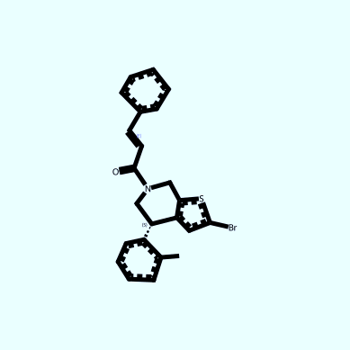 Cc1ccccc1[C@@H]1CN(C(=O)/C=C/c2ccccc2)Cc2sc(Br)cc21